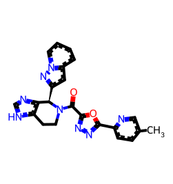 Cc1ccc(-c2nnc(C(=O)N3CCc4[nH]cnc4[C@H]3c3cc4ccccn4n3)o2)nc1